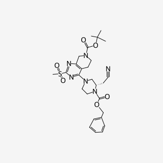 CC(C)(C)OC(=O)N1CCc2c(nc(S(C)(=O)=O)nc2N2CCN(C(=O)OCc3ccccc3)[C@@H](CC#N)C2)C1